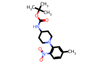 Cc1ccc([N+](=O)[O-])c(N2CCC(NC(=O)OC(C)(C)C)CC2)c1